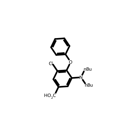 CCCCN(CCCC)c1cc(C(=O)O)cc(Cl)c1Oc1ccccc1